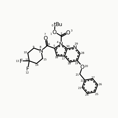 CC(C)(C)OC(=O)n1c(C(=O)N2CCC(F)(F)CC2)cc2cc(OCc3ccccc3)cnc21